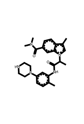 Cc1ccc(N2CCNCC2)cc1NC(=O)C(C)n1cc(C)c2ccc(C(=O)N(C)C)cc21